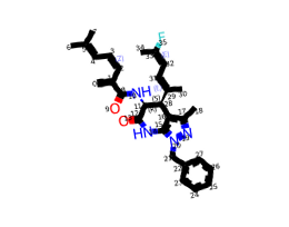 C=C(/C=C\C=C(C)C)C(=O)N[C@H]1C(=O)Nc2c(c(C)nn2Cc2ccccc2)[C@@H]1/C(C)=C/C=C(\C)F